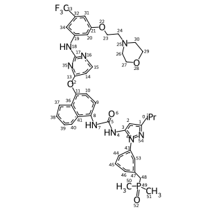 CC(C)c1cc(NC(=O)Nc2ccc(Oc3ccnc(Nc4cc(OCCN5CCOCC5)cc(C(F)(F)F)c4)n3)c3ccccc23)n(-c2cccc(CP(C)(C)=O)c2)n1